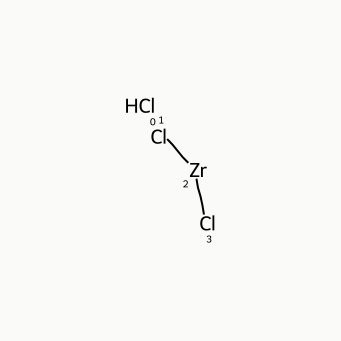 Cl.[Cl][Zr][Cl]